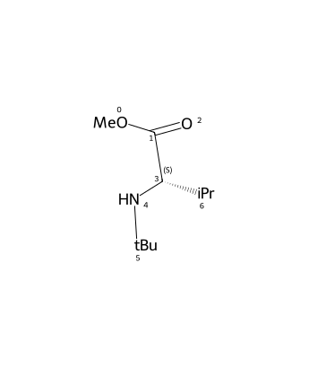 COC(=O)[C@@H](NC(C)(C)C)C(C)C